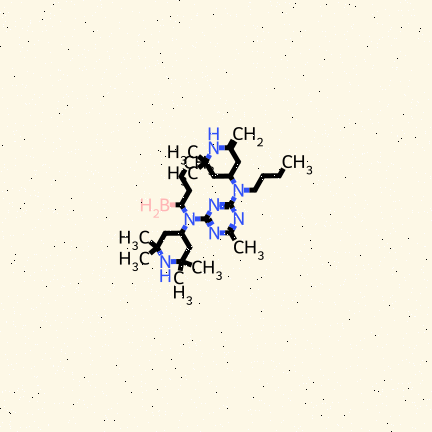 BC(CCC)N(c1nc(C)nc(N(CCCC)C2CC(=C)NC(C)(C)C2)n1)C1CC(C)(C)NC(C)(C)C1